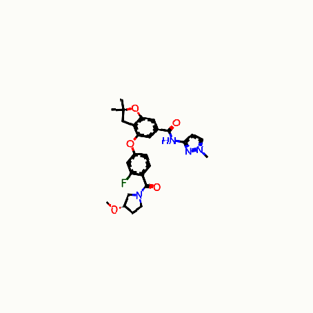 CO[C@H]1CCN(C(=O)c2ccc(Oc3cc(C(=O)Nc4ccn(C)n4)cc4c3CC(C)(C)O4)cc2F)C1